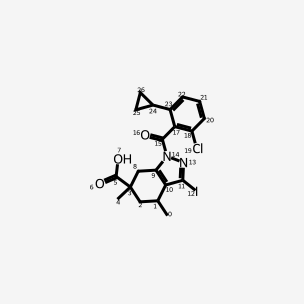 CC1CC(C)(C(=O)O)Cc2c1c(I)nn2C(=O)c1c(Cl)cccc1C1CC1